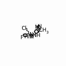 Cc1ncnn1-c1ccc(Nc2n[nH]c(C(CCCCl)c3ccc(F)cc3)n2)cc1F